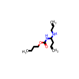 C=CCNC(CC=C)NC(=O)OCCCC